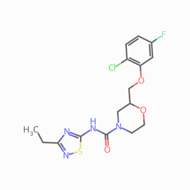 CCc1nsc(NC(=O)N2CCOC(COc3cc(F)ccc3Cl)C2)n1